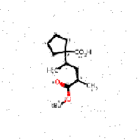 CC(C[C@@H](C)C(=O)OC(C)(C)C)C1(C(=O)O)CCCC1